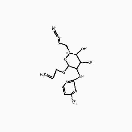 C=CCOC1O[C@@H](CN=[N+]=[N-])C(O)C(O)C1Nc1nccc(C(F)(F)F)n1